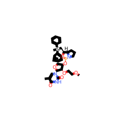 CC[C@H]1O[C@@H](n2cc(C)c(=O)[nH]c2=O)[C@@H](OCCOC)C1O[P@]1O[C@@H](C[Si](C)(c2ccccc2)c2ccccc2)[C@H]2CCCN21